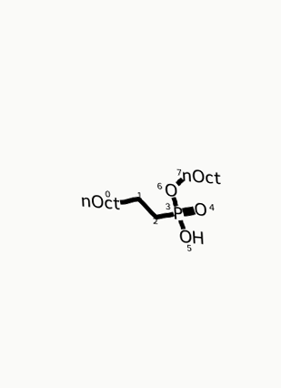 CCCCCCCCCCP(=O)(O)OCCCCCCCC